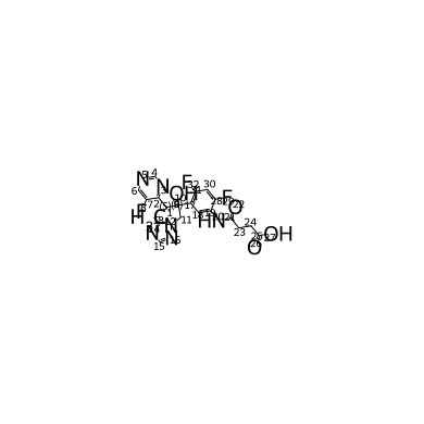 C[C@@H](c1ncncc1F)[C@](O)(Cn1cncn1)c1cc(NC(=O)CCC(=O)O)c(F)cc1F